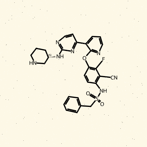 N#Cc1c(NS(=O)(=O)Cc2ccccc2)ccc(Oc2ncccc2-c2ccnc(N[C@H]3CCCNC3)n2)c1F